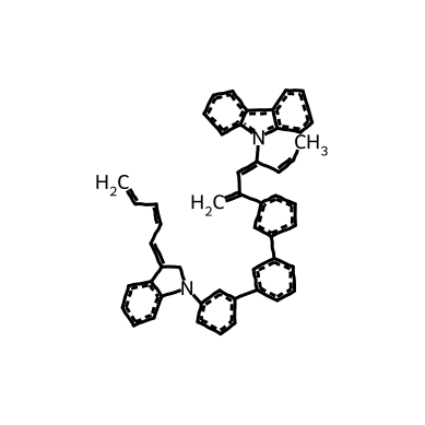 C=C/C=C\C=C1/CN(c2cccc(-c3cccc(-c4cccc(C(=C)/C=C(\C=C/C)n5c6ccccc6c6ccccc65)c4)c3)c2)c2ccccc21